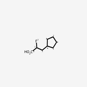 O=C(O)C(F)CC1CCCC1